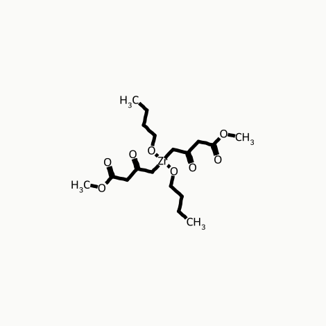 CCCC[O][Zr]([CH2]C(=O)CC(=O)OC)([CH2]C(=O)CC(=O)OC)[O]CCCC